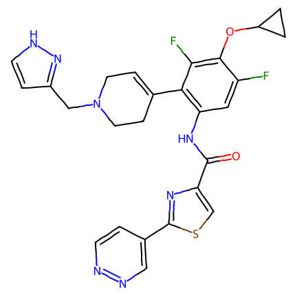 O=C(Nc1cc(F)c(OC2CC2)c(F)c1C1=CCN(Cc2cc[nH]n2)CC1)c1csc(-c2ccnnc2)n1